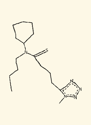 CCCCN(C(=S)CCCc1nnnn1C)C1CCCCC1